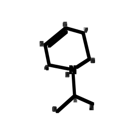 CC(C)N1CC=[C]CC1